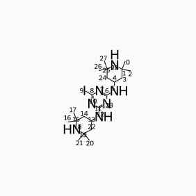 CC1(C)CC(Nc2nc(I)nc(NC3CC(C)(C)NC(C)(C)C3)n2)CC(C)(C)N1